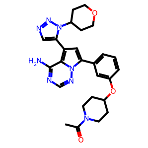 CC(=O)N1CCC(Oc2cccc(-c3cc(-c4cnnn4C4CCOCC4)c4c(N)ncnn34)c2)CC1